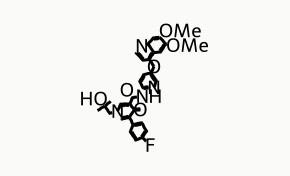 COc1cc2nccc(Oc3ccc(NC(=O)c4cn(CC(C)(C)O)cc(-c5ccc(F)cc5)c4=O)nc3)c2cc1OC